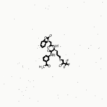 CC(=O)c1cccc(NC(=O)[C@H](CCCSCC(=O)C(F)(F)F)NC(=O)Cn2c(=O)oc3ccccc32)c1